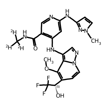 [2H]C([2H])([2H])NC(=O)c1cnc(Nc2ccn(C)n2)cc1Nc1cnn2ccc([C@H](O)C(F)(F)F)c(OC)c12